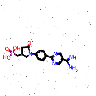 N=C(N)c1cnc(-c2ccc(N3CC(CP(=O)(O)O)CC3=O)cc2)nc1